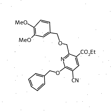 CCOC(=O)c1cc(C#N)c(OCc2ccccc2)nc1COCc1ccc(OC)c(OC)c1